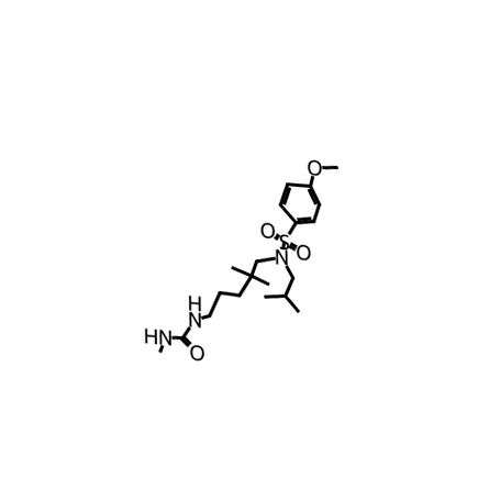 CNC(=O)NCCCC(C)(C)CN(CC(C)C)S(=O)(=O)c1ccc(OC)cc1